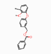 COc1c(C)cccc1Oc1cccc(COC(=O)c2ccccc2)c1